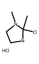 CN1CC[N]C1(C)Cl.Cl